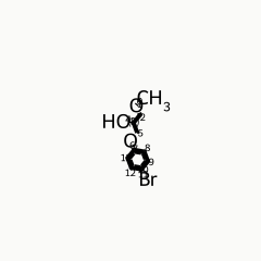 COC[C@@H](O)COc1ccc(Br)cc1